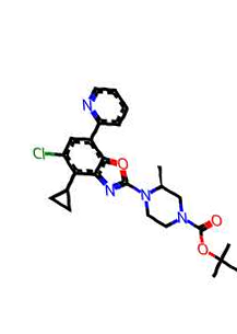 C[C@H]1CN(C(=O)OC(C)(C)C)CCN1c1nc2c(C3CC3)c(Cl)cc(-c3ccccn3)c2o1